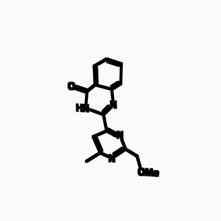 COCc1nc(C)cc(-c2nc3ccccc3c(=O)[nH]2)n1